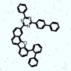 c1ccc(-c2ccc(-c3nc(-c4ccccc4)nc(-c4ccc5ccc6c7cccc(-c8ccccc8-c8ccccc8)c7oc6c5c4)n3)cc2)cc1